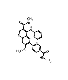 CNC(=O)c1ccc(-c2cc3c(Nc4ccccc4)c(C(=O)NC)cnc3cc2OC)nc1